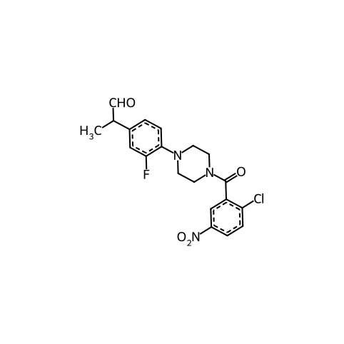 CC(C=O)c1ccc(N2CCN(C(=O)c3cc([N+](=O)[O-])ccc3Cl)CC2)c(F)c1